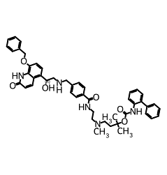 CN(CCNC(=O)c1ccc(CNC[C@H](O)c2ccc(OCc3ccccc3)c3[nH]c(=O)ccc23)cc1)CCC(C)(C)OC(=O)Nc1ccccc1-c1ccccc1